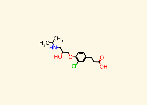 CC(C)NCC(O)COc1ccc(CCC(=O)O)cc1Cl